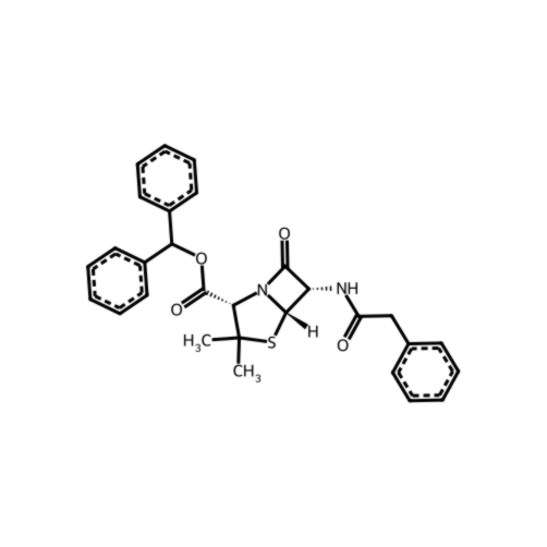 CC1(C)S[C@H]2[C@@H](NC(=O)Cc3ccccc3)C(=O)N2[C@H]1C(=O)OC(c1ccccc1)c1ccccc1